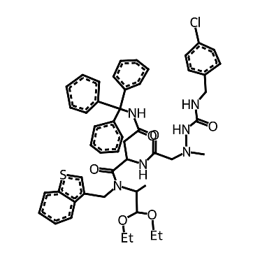 CCOC(OCC)C(C)N(Cc1csc2ccccc12)C(=O)C(CC(=O)NC(c1ccccc1)(c1ccccc1)c1ccccc1)NC(=O)CN(C)NC(=O)NCc1ccc(Cl)cc1